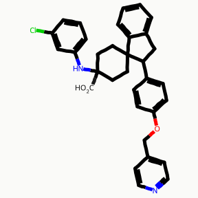 O=C(O)C1(Nc2cccc(Cl)c2)CCC2(CC1)c1ccccc1CC2c1ccc(OCc2ccncc2)cc1